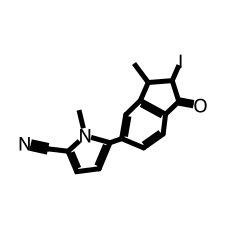 CC1c2cc(-c3ccc(C#N)n3C)ccc2C(=O)C1I